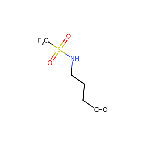 O=CCCCNS(=O)(=O)C(F)(F)F